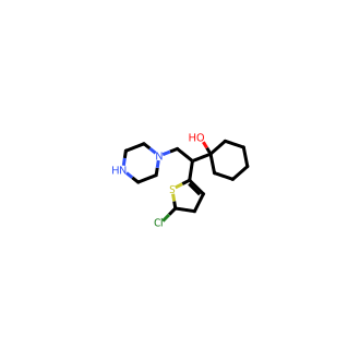 OC1(C(CN2CCNCC2)C2=CCC(Cl)S2)CCCCC1